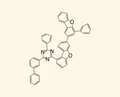 c1ccc(-c2cccc(-c3nc(-c4ccccc4)nc(-c4cccc5oc6cc(-c7cc(-c8ccccc8)c8oc9ccccc9c8c7)ccc6c45)n3)c2)cc1